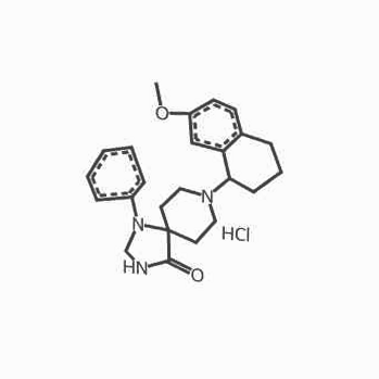 COc1ccc2c(c1)C(N1CCC3(CC1)C(=O)NCN3c1ccccc1)CCC2.Cl